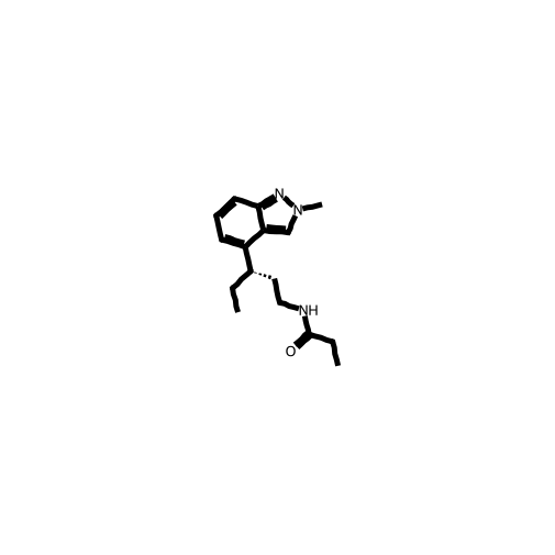 CCC(=O)NCC[C@H](CC)c1cccc2nn(C)cc12